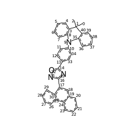 CC1(C)c2ccccc2N(c2ccc(-c3nc(-c4cc5ccccc5c5ccccc45)no3)cc2)c2ccccc21